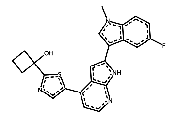 Cn1cc(-c2cc3c(-c4cnc(C5(O)CCC5)s4)ccnc3[nH]2)c2cc(F)ccc21